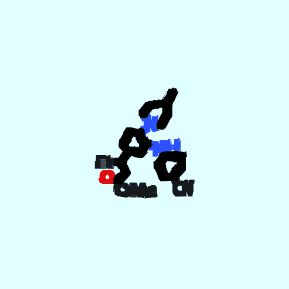 CCC(CC(=O)OC)c1ccc(N2CCC(C)CC2)c(Nc2ccc(C#N)cc2)c1